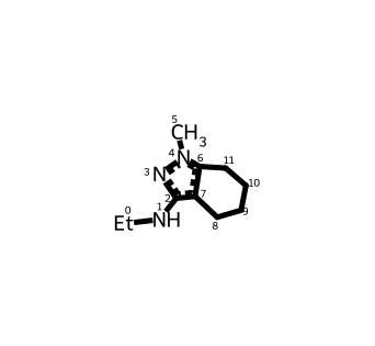 CCNc1nn(C)c2c1CCCC2